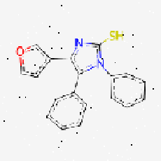 Sc1nc(-c2ccoc2)c(-c2ccccc2)n1-c1ccccc1